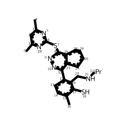 Cc1cc(C)nc(Sc2nnc(-c3ccc(C)c(S)c3CNC(C)C)c3ccccc23)n1